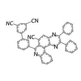 N#Cc1cc(C#N)cc(-c2cccc(-c3nc4ccccc4c4c3c(C#N)cc3nc(-c5ccccc5)c(-c5ccccc5)nc34)c2)c1